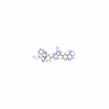 NC[C@]1(c2ccccc2F)[C@@H]2CCN(c3cnc4c(-c5ccc6nccc(N)c6c5)n[nH]c4n3)C[C@@H]21